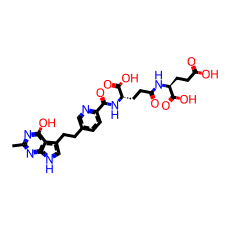 Cc1nc(O)c2c(CCc3ccc(C(=O)N[C@@H](CCC(=O)N[C@@H](CCC(=O)O)C(=O)O)C(=O)O)nc3)c[nH]c2n1